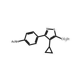 CCOC(=O)c1snc(-c2ccc(NC(C)=O)cc2)c1C1CC1